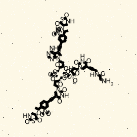 COC[C@H]1O[C@@H](n2cc(C#CCNC(=O)CN)c(=O)[nH]c2=O)C[C@@H]1OP(C)(=O)OC[C@H]1O[C@@H](n2cc(C#Cc3ccc(C(C)OC4CNC(=O)SC4=O)c([N+](=O)[O-])c3)c(=O)[nH]c2=O)C[C@@H]1OP(C)(=O)OC[C@H]1O[C@@H](n2cc(C#Cc3ccc(C(C)NC4CNC(=O)SC4=O)c([N+](=O)[O-])c3)c3c(N)ncnc32)C[C@@H]1O